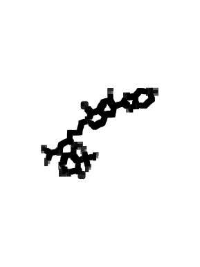 O=c1[nH]ncc(NC(CCCn2ccc3cc(-c4nc5n(n4)CCNC5)c(F)cc3c2=O)COC(F)F)c1C(F)(F)F